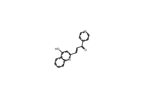 O=C(/C=C/c1cc(O)c2ccccc2n1)c1ccncc1